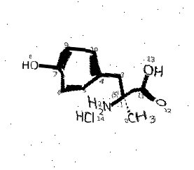 C[C@](N)(Cc1ccc(O)cc1)C(=O)O.Cl